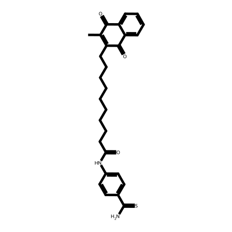 CC1=C(CCCCCCCCCC(=O)Nc2ccc(C(N)=S)cc2)C(=O)c2ccccc2C1=O